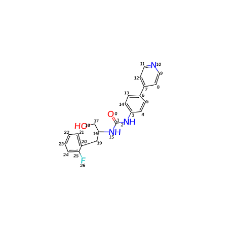 O=C(Nc1ccc(-c2ccncc2)cc1)NC(CO)Cc1ccccc1F